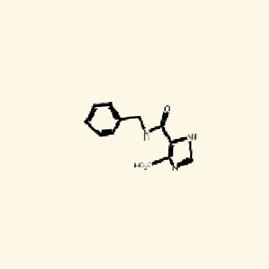 O=C(O)c1nc[nH]c1C(=O)N[CH]c1ccccc1